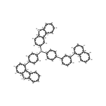 c1cc(-c2ccc(N(c3ccc(-c4cccc5sc6ccccc6c45)cc3)c3ccc4oc5ccccc5c4c3)cc2)cc(-c2cccc3ccccc23)c1